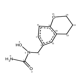 NC(=O)N(O)Cc1ccc2c(c1)CCCO2